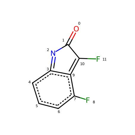 O=C1N=c2cccc(F)c2=C1F